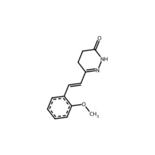 COc1ccccc1C=CC1=NNC(=O)CC1